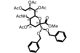 COC(=O)[C@]1(P(OCc2ccccc2)OCc2ccccc2)C[C@@H](OC(C)=O)[C@@H](NC(C)=O)C([C@H](OC(C)=O)[C@@H](COC(C)=O)OC(C)=O)O1